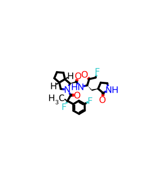 C[C@@](F)(C(=O)N1C[C@@H]2CCC[C@@H]2[C@H]1C(=O)N[C@@H](C[C@H]1CCNC1=O)C(=O)CF)c1cccc(F)c1